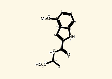 COc1cccc2[nH]c(C(=O)NC(C)C(=O)O)cc12